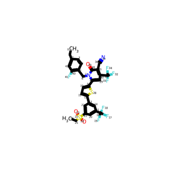 CCc1ccc(Cn2c(-c3ccc(-c4cc(C(F)(F)F)cc(S(=O)(=O)CC)c4)s3)cc(C(F)(F)F)c(C#N)c2=O)c(F)c1